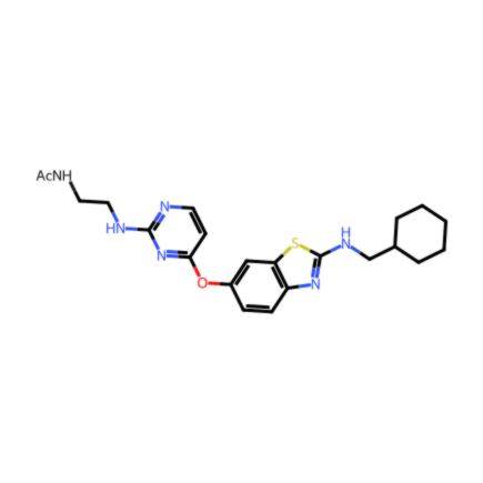 CC(=O)NCCNc1nccc(Oc2ccc3nc(NCC4CCCCC4)sc3c2)n1